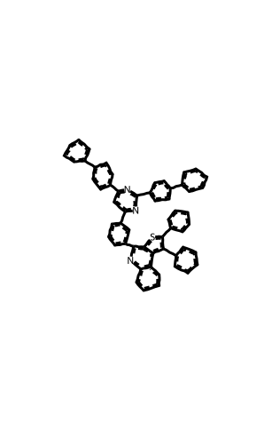 c1ccc(-c2ccc(-c3cc(-c4cccc(-c5nc6ccccc6c6c(-c7ccccc7)c(-c7ccccc7)sc56)c4)nc(-c4ccc(-c5ccccc5)cc4)n3)cc2)cc1